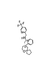 FC(F)(F)c1ccc(CNCC[C@@]2(c3ccccn3)CCOC3(CCCC3)C2)nc1